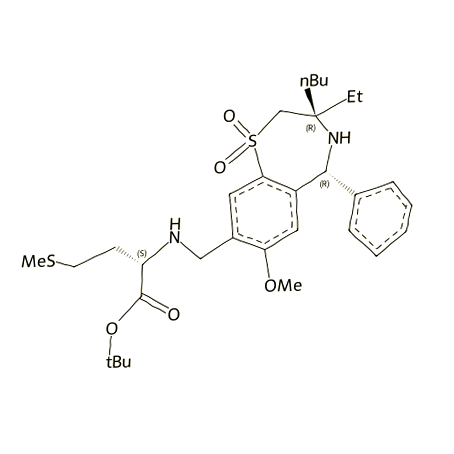 CCCC[C@]1(CC)CS(=O)(=O)c2cc(CN[C@@H](CCSC)C(=O)OC(C)(C)C)c(OC)cc2[C@@H](c2ccccc2)N1